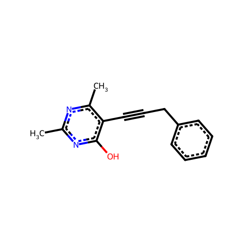 Cc1nc(C)c(C#CCc2ccccc2)c(O)n1